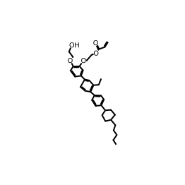 C=CC(=O)OCCOc1cc(-c2ccc(-c3ccc(C4CCC(CCCCC)CC4)cc3)c(CC)c2)ccc1OCCO